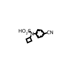 N#Cc1ccc(N(C(=O)O)C2CCC2)cc1